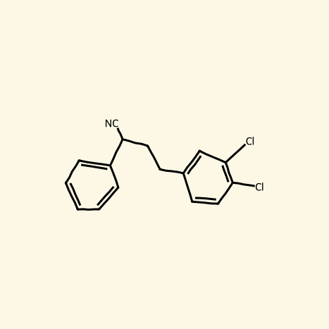 N#CC(CCc1ccc(Cl)c(Cl)c1)c1ccccc1